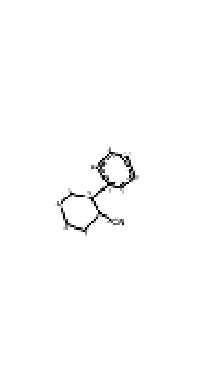 N#CC1CCCCC1c1ccccc1